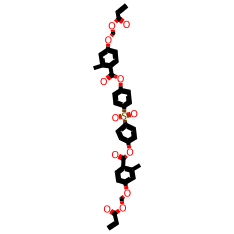 C=CC(=O)OCOc1ccc(C(=O)Oc2ccc(S(=O)(=O)c3ccc(OC(=O)c4ccc(OCOC(=O)C=C)cc4C)cc3)cc2)c(C)c1